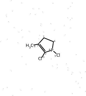 CC1=C(Cl)P(Cl)CC1